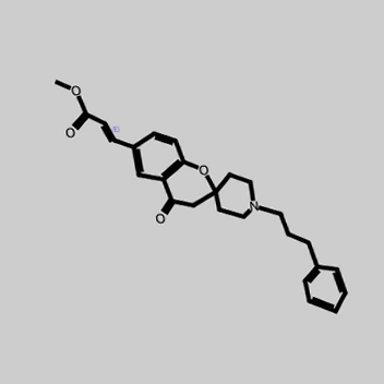 COC(=O)/C=C/c1ccc2c(c1)C(=O)CC1(CCN(CCCc3ccccc3)CC1)O2